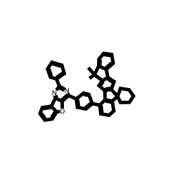 CC1(C)c2ccccc2-c2cc3c(cc21)C1=C(CCC=C1c1ccc(-c2nc(-c4ccccc4)nc4c2oc2ccccc24)cc1)C31CCCCC1